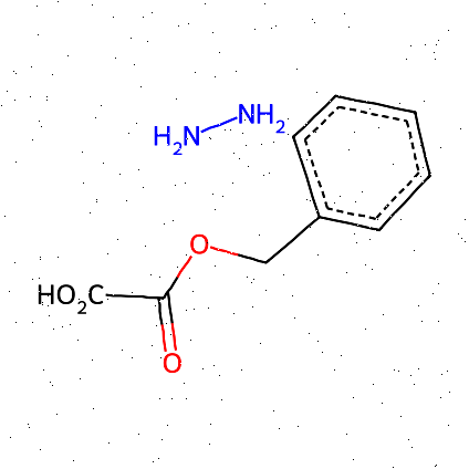 NN.O=C(O)C(=O)OCc1ccccc1